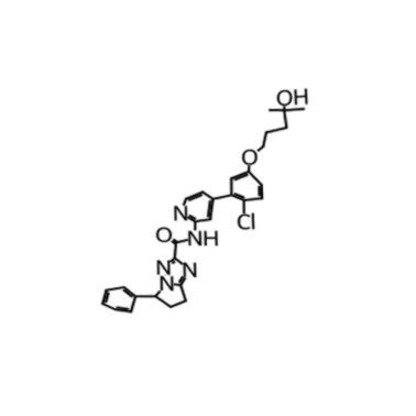 CC(C)(O)CCCOc1ccc(Cl)c(-c2ccnc(NC(=O)c3nc4n(n3)C(c3ccccc3)CC4)c2)c1